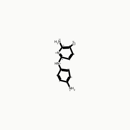 Nc1ccc(Nc2ccc(Cl)c(N)n2)cc1